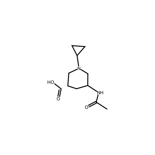 CC(=O)NC1CCCN(C2CC2)C1.O=CO